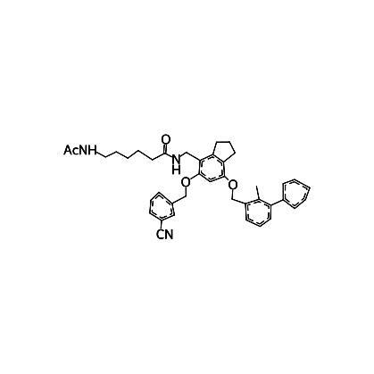 CC(=O)NCCCCCC(=O)NCc1c(OCc2cccc(C#N)c2)cc(OCc2cccc(-c3ccccc3)c2C)c2c1CCC2